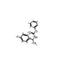 CC(NC(=O)Oc1ccccc1)c1ccc(F)cc1